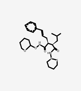 CC(C)C[C@@H](C(=O)NN1CCCCS1)[C@H](C/C=C/c1ccccc1)C(=O)NOC1CCCCO1